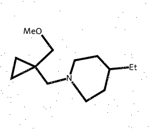 CCC1CCN(CC2(COC)CC2)CC1